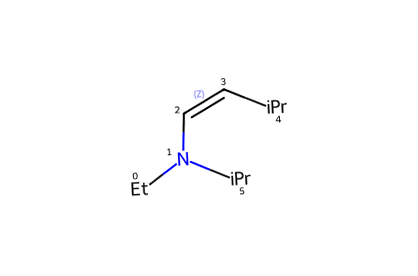 CCN(/C=C\C(C)C)C(C)C